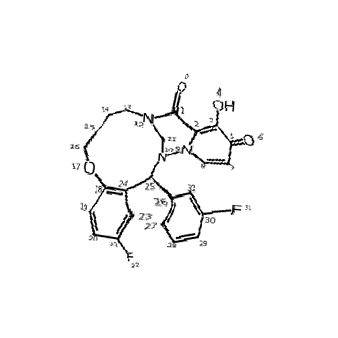 O=C1c2c(O)c(=O)ccn2N2CN1CCCCOc1ccc(F)cc1[C@@H]2c1cccc(F)c1